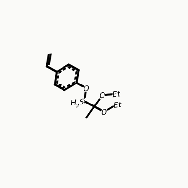 C=Cc1ccc(O[SiH2]C(C)(OCC)OCC)cc1